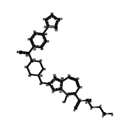 COCCNC(=O)C1=C(C)c2cn(CC3CCN(C(=O)c4ccc(-c5ccno5)cc4)CC3)nc2C=C=C1